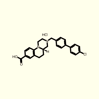 Cl.O=C(O)c1ccc2c(c1)CC[C@H]1CN(Cc3ccc(-c4ccc(Cl)cc4)cc3)CCN21